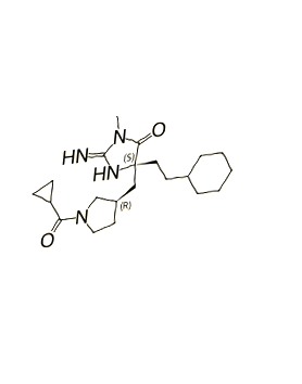 CN1C(=N)N[C@@](CCC2CCCCC2)(C[C@H]2CCN(C(=O)C3CC3)C2)C1=O